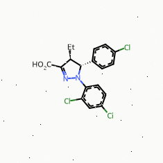 CC[C@@H]1C(C(=O)O)=NN(c2ccc(Cl)cc2Cl)[C@H]1c1ccc(Cl)cc1